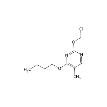 CCCCOc1nc(OCCl)ncc1C